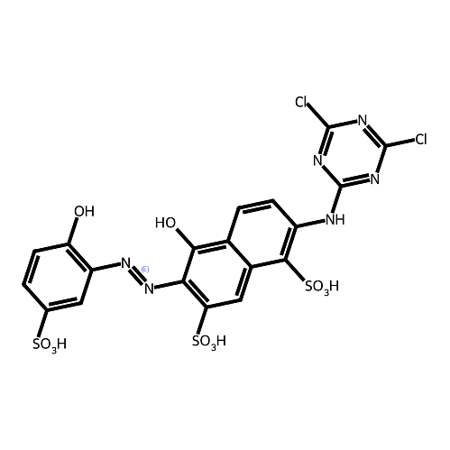 O=S(=O)(O)c1ccc(O)c(/N=N/c2c(S(=O)(=O)O)cc3c(S(=O)(=O)O)c(Nc4nc(Cl)nc(Cl)n4)ccc3c2O)c1